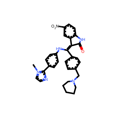 Cn1ccnc1-c1ccc(NC(=C2C(=O)Nc3ccc([N+](=O)[O-])cc32)c2ccc(CN3CCCCC3)cc2)cc1